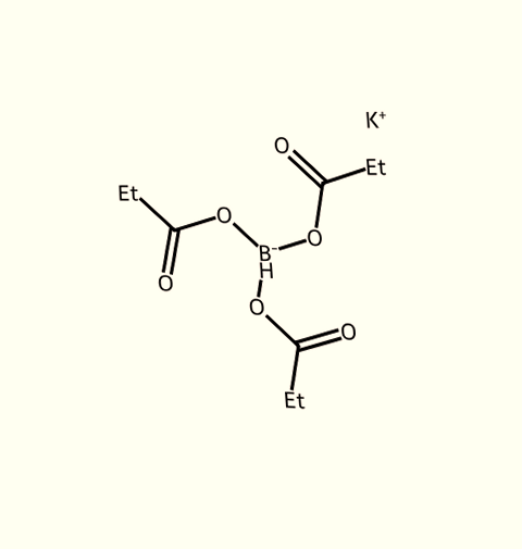 CCC(=O)O[BH-](OC(=O)CC)OC(=O)CC.[K+]